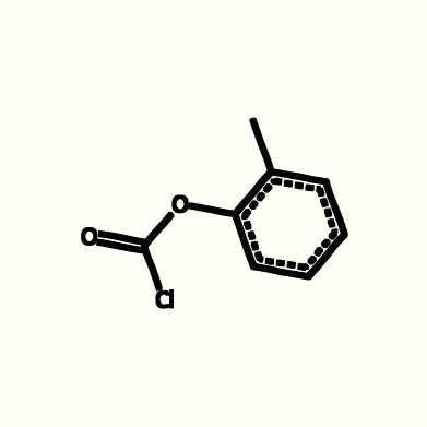 Cc1ccccc1OC(=O)Cl